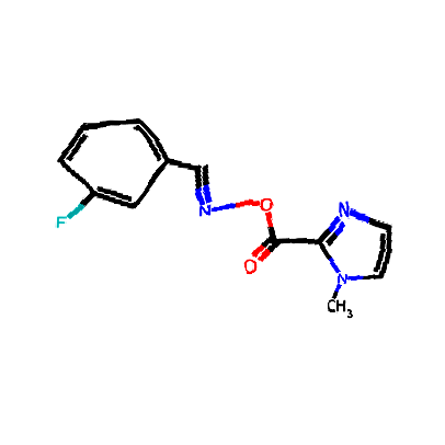 Cn1ccnc1C(=O)ON=Cc1cccc(F)c1